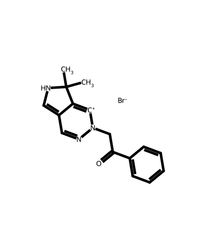 CC1(C)NC=C2C=NN(CC(=O)c3ccccc3)[C+]=C21.[Br-]